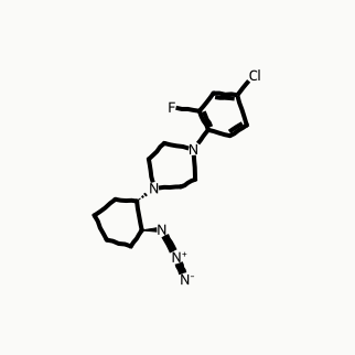 [N-]=[N+]=N[C@H]1CCCC[C@@H]1N1CCN(c2ccc(Cl)cc2F)CC1